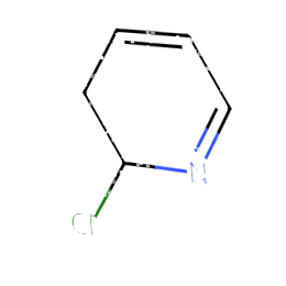 ClC1CC=CC=N1